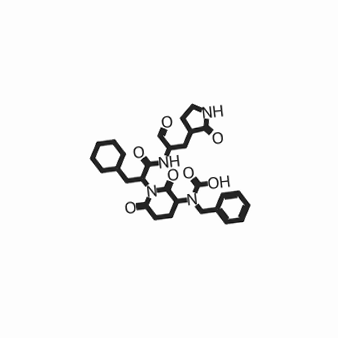 O=CC(CC1CCNC1=O)NC(=O)C(CC1CCCCC1)N1C(=O)CCC(N(Cc2ccccc2)C(=O)O)C1=O